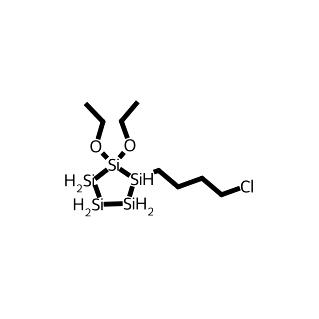 CCO[Si]1(OCC)[SiH2][SiH2][SiH2][SiH]1CCCCCl